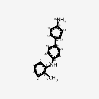 Cc1ccccc1Nc1ccc(-c2ccc(N)cc2)cc1